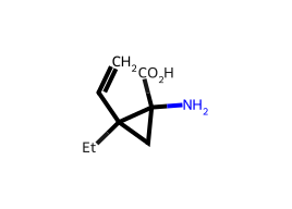 C=CC1(CC)CC1(N)C(=O)O